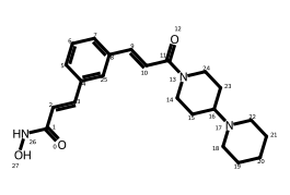 O=C(/C=C/c1cccc(/C=C/C(=O)N2CCC(N3CCCCC3)CC2)c1)NO